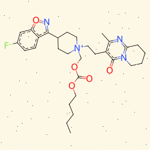 CCCCCOC(=O)OC[N+]1(CCc2c(C)nc3n(c2=O)CCCC3)CCC(c2noc3cc(F)ccc23)CC1